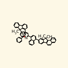 CC1(C)c2cc(-c3ccc(-c4cc(-c5cccc6c5C(C)(c5ccccc5)c5ccccc5-6)nc(-c5ccccc5)n4)c4ccccc34)ccc2-c2ccc3ccccc3c21